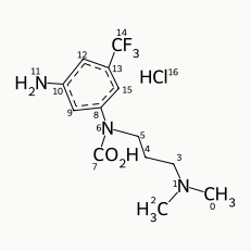 CN(C)CCCN(C(=O)O)c1cc(N)cc(C(F)(F)F)c1.Cl